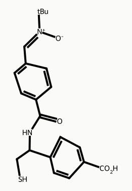 CC(C)(C)[N+]([O-])=Cc1ccc(C(=O)NC(CS)c2ccc(C(=O)O)cc2)cc1